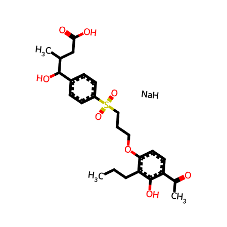 CCCc1c(OCCCS(=O)(=O)c2ccc(C(O)C(C)CC(=O)O)cc2)ccc(C(C)=O)c1O.[NaH]